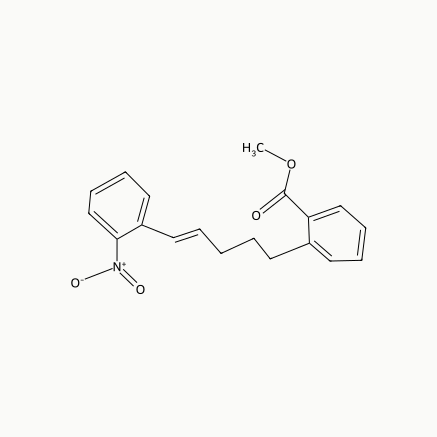 COC(=O)c1ccccc1CCCC=Cc1ccccc1[N+](=O)[O-]